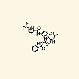 C[C@H]1C[C@H]2CSC(NC(=O)c3ccccc3)=N[C@@]2(c2nc(NC(=O)c3ccn(C(F)F)n3)cs2)CO1